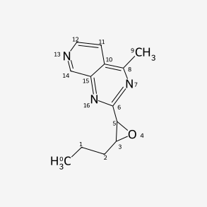 CCCC1OC1c1nc(C)c2ccncc2n1